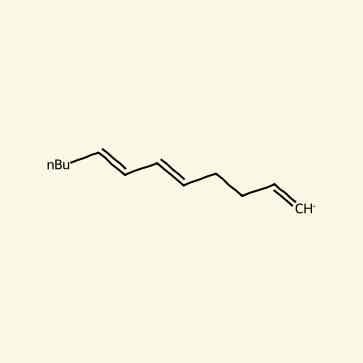 [CH]=CCCC=CC=CCCCC